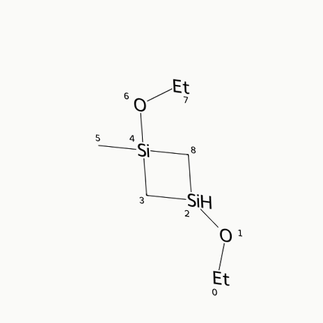 CCO[SiH]1C[Si](C)(OCC)C1